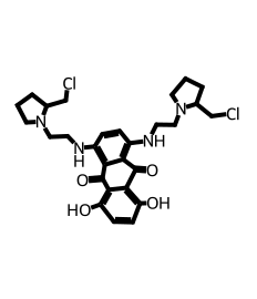 O=C1c2c(O)ccc(O)c2C(=O)c2c(NCCN3CCCC3CCl)ccc(NCCN3CCCC3CCl)c21